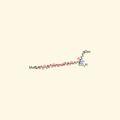 CCCCCCCCCCCCCCCC(=O)NC(CSCCOCCOCCOCCOCCOCCOCCOCCOCCOC)C(=O)O